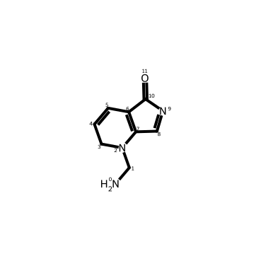 NCN1CC=CC2=C1C=NC2=O